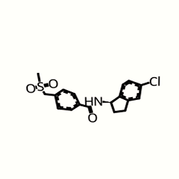 CS(=O)(=O)Cc1ccc(C(=O)N[C@@H]2CCc3cc(Cl)ccc32)cc1